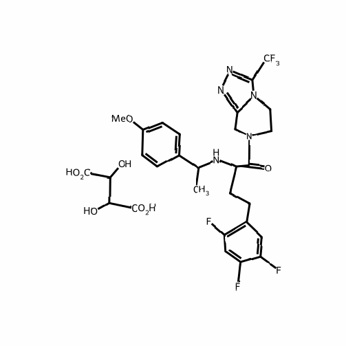 COc1ccc(C(C)NC(CCc2cc(F)c(F)cc2F)C(=O)N2CCn3c(nnc3C(F)(F)F)C2)cc1.O=C(O)C(O)C(O)C(=O)O